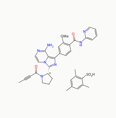 CC#CC(=O)N1CCC[C@H]1c1nc(-c2ccc(C(=O)Nc3ccccn3)c(OC)c2)c2c(N)nccn12.Cc1cc(C)c(S(=O)(=O)O)c(C)c1